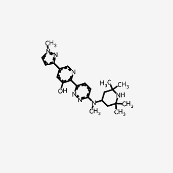 CN(c1ccc(-c2ncc(-c3ccn(C)n3)cc2O)nn1)C1CC(C)(C)NC(C)(C)C1